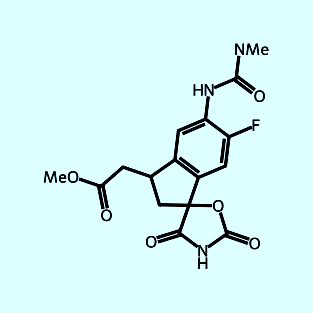 CNC(=O)Nc1cc2c(cc1F)C1(CC2CC(=O)OC)OC(=O)NC1=O